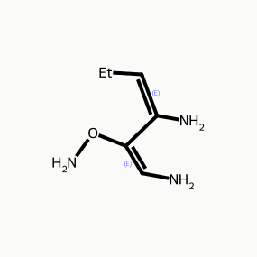 CC/C=C(N)\C(=C/N)ON